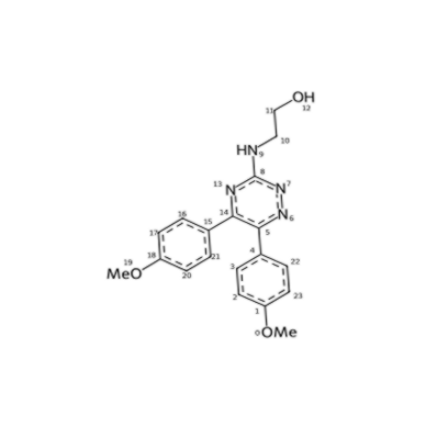 COc1ccc(-c2nnc(NCCO)nc2-c2ccc(OC)cc2)cc1